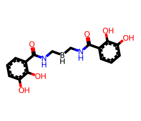 O=C(NCBCNC(=O)c1cccc(O)c1O)c1cccc(O)c1O